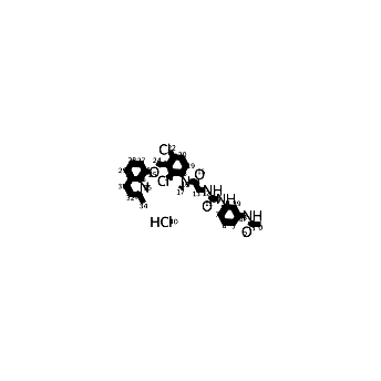 CC(=O)Nc1cccc(NC(=O)NCC(=O)N(C)c2ccc(Cl)c(COc3cccc4ccc(C)nc34)c2Cl)c1.Cl